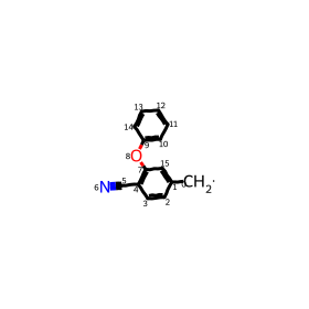 [CH2]c1ccc(C#N)c(Oc2ccccc2)c1